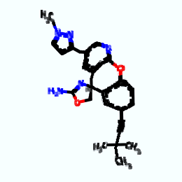 Cn1ccc(-c2cnc3c(c2)[C@]2(COC(N)=N2)c2cc(C#CC(C)(C)C)ccc2O3)n1